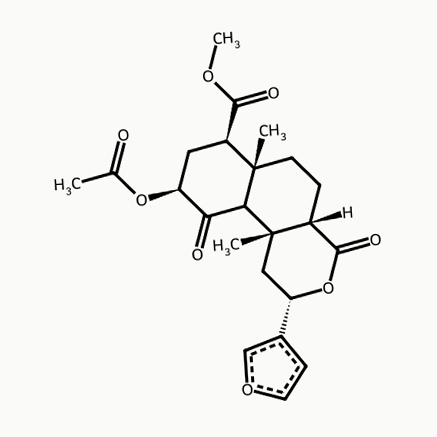 COC(=O)[C@@H]1C[C@H](OC(C)=O)C(=O)C2[C@@]3(C)C[C@@H](c4ccoc4)OC(=O)[C@H]3CC[C@]21C